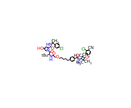 C[C@H](NC(=O)[C@@H]1C[C@@H](O)CN1C(=O)C(NC(=O)COCCCCCc1ccc(C(=O)NC2C(C)(C)C(Oc3ccc(C#N)c(Cl)c3)C2(C)C)cc1)C(C)(C)C)c1ccc(Cl)cc1